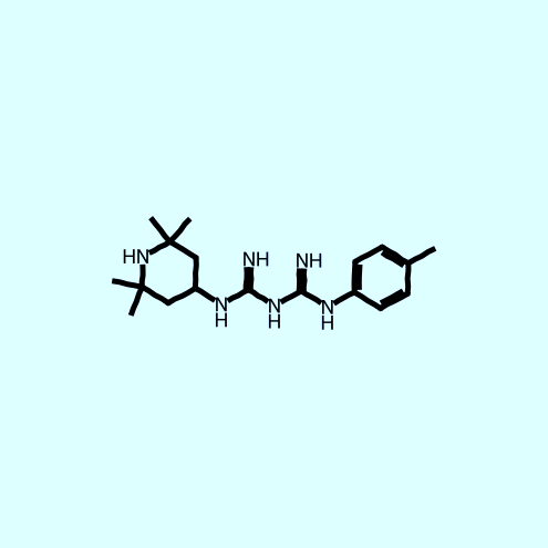 Cc1ccc(NC(=N)NC(=N)NC2CC(C)(C)NC(C)(C)C2)cc1